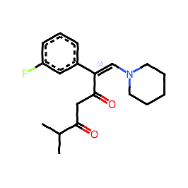 CC(C)C(=O)CC(=O)/C(=C\N1CCCCC1)c1cccc(F)c1